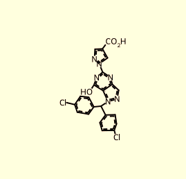 O=C(O)c1cnn(-c2nc(O)c3c(cnn3C(c3ccc(Cl)cc3)c3ccc(Cl)cc3)n2)c1